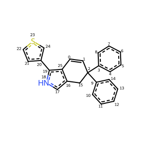 C1=CC(c2ccccc2)(c2ccccc2)Cc2c[nH]c(-c3ccsc3)c21